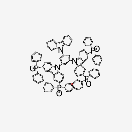 O=P(c1ccccc1)(c1ccccc1)c1ccc2c(c1)c1cc(P(=O)(c3ccccc3)c3ccccc3)ccc1n2-c1cc(-n2c3ccccc3c3ccccc32)cc(-n2c3ccc(P(=O)(c4ccccc4)c4ccccc4)cc3c3cc(P(=O)(c4ccccc4)c4ccccc4)ccc32)c1